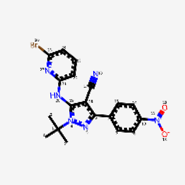 CC(C)(C)n1nc(-c2ccc([N+](=O)[O-])cc2)c(C#N)c1Nc1cccc(Br)n1